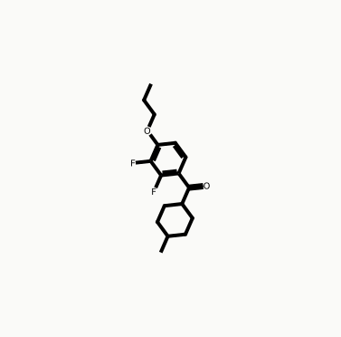 CCCOc1ccc(C(=O)C2CCC(C)CC2)c(F)c1F